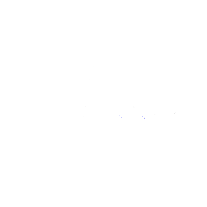 O=C(NC12CCC(CC1)C2)N1CC(OC(c2ccc(Cl)cc2)c2ccc(Cl)cc2)C1